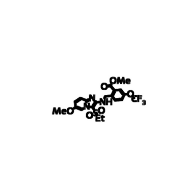 CCS(=O)(=O)c1c(NCc2ccc(OC(F)(F)F)cc2C(=O)OC)nc2ccc(OC)cn12